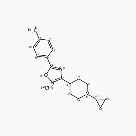 Cc1ccc(-c2nc(C3CCN(C4CC4)CC3)no2)cc1.Cl